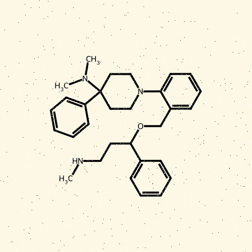 CNCCC(OCc1ccccc1N1CCC(c2ccccc2)(N(C)C)CC1)c1ccccc1